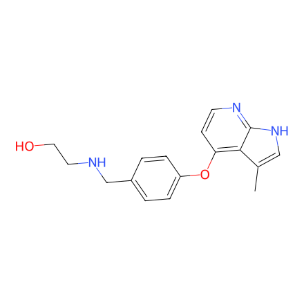 Cc1c[nH]c2nccc(Oc3ccc(CNCCO)cc3)c12